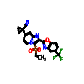 CCS(=O)(=O)c1c(-c2nc3cc(C(F)(F)F)ccc3o2)nc2cc(C3(C#N)CC3)ccn12